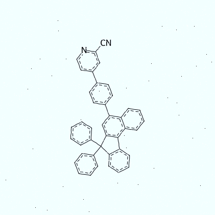 N#Cc1cc(-c2ccc(-c3cc4c(c5ccccc35)-c3ccccc3C4(c3ccccc3)c3ccccc3)cc2)ccn1